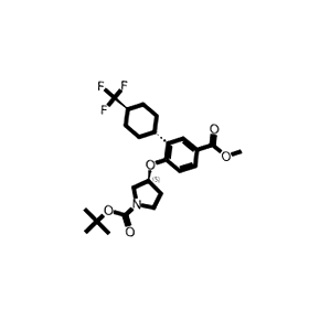 COC(=O)c1ccc(O[C@H]2CCN(C(=O)OC(C)(C)C)C2)c([C@H]2CC[C@H](C(F)(F)F)CC2)c1